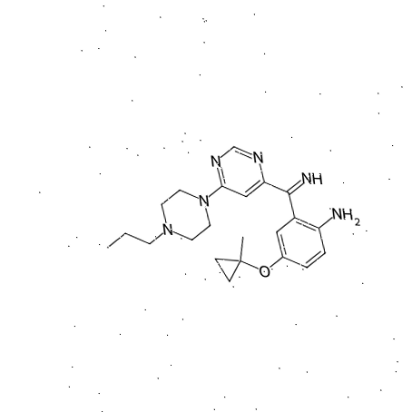 CCCN1CCN(c2cc(C(=N)c3cc(OC4(C)CC4)ccc3N)ncn2)CC1